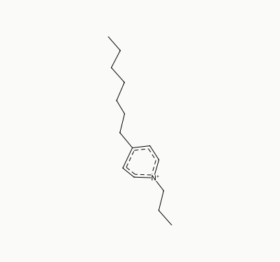 CCCCCCCc1cc[n+](CCC)cc1